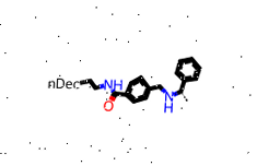 CCCCCCCCCCCCNC(=O)c1ccc(CN[C@@H](C)c2ccccc2)cc1